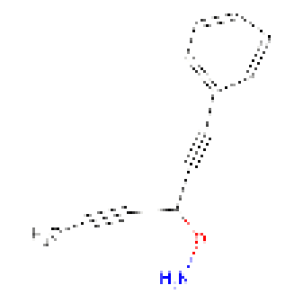 CC#CC(C#Cc1ccccc1)ON